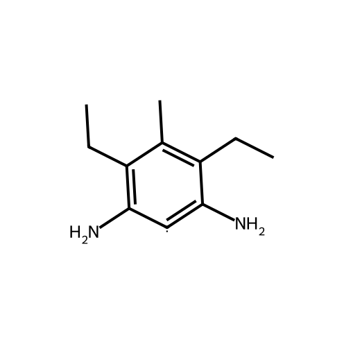 CCc1c(N)[c]c(N)c(CC)c1C